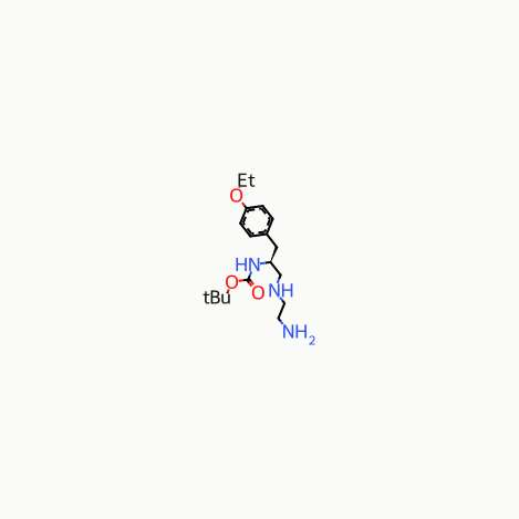 CCOc1ccc(C[C@@H](CNCCN)NC(=O)OC(C)(C)C)cc1